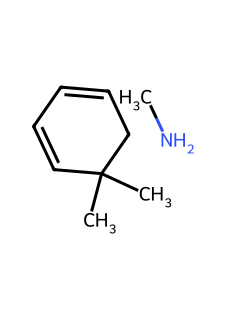 CC1(C)C=CC=CC1.CN